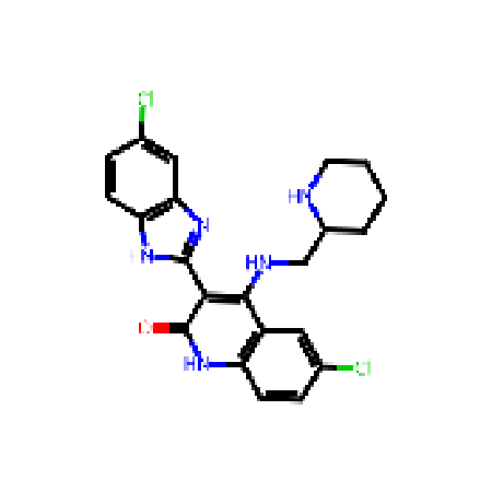 O=c1[nH]c2ccc(Cl)cc2c(NCC2CCCCN2)c1-c1nc2cc(Cl)ccc2[nH]1